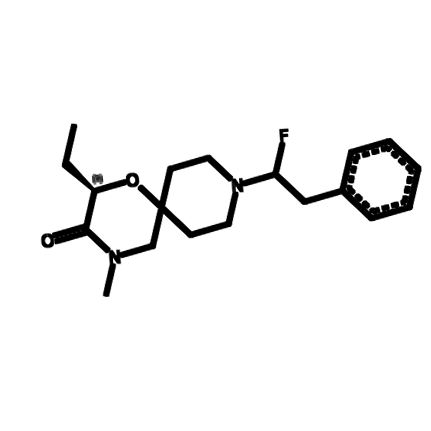 CC[C@H]1OC2(CCN(C(F)Cc3ccccc3)CC2)CN(C)C1=O